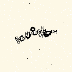 CS(=O)(=O)N1CCN(c2ccc(N3CCN(OC(=O)NC4[C@@H]5CC6C[C@H]4CC(O)(C6)C5)c4ccccc43)nn2)CC1